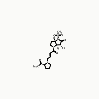 COC(=O)[C@@H]1CCCN1C/C=C/C(=O)N1CC[C@H]2[C@H]1[C@@H](C(C)C)C(=O)N2S(C)(=O)=O